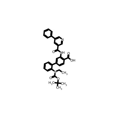 CCN(C(=O)OC(C)(C)C)c1ccccc1-c1ccc(C(=O)O)c(NC(=O)c2cncc(-c3ccccc3)c2)c1